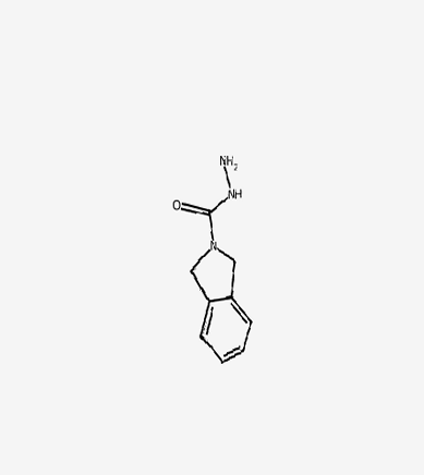 NNC(=O)N1Cc2ccccc2C1